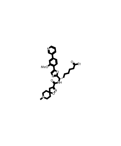 CCC(=O)CCCCC[C@H](NC(=O)C1=NOC2(CCN(C)CC2)C1)c1ncc(-c2ccc(-c3cccnc3)cc2OC)o1